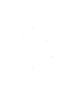 NC1CCN(Cc2ccc3cncc(-c4cc5cnccc5o4)c3c2)CC1